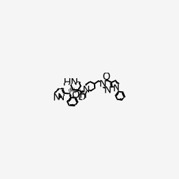 O=C(N1CCC(Cn2cnc3c(ccn3-c3ccccc3)c2=O)CC1)[C@@]1(O)CCNC[C@H]1C(c1ccccc1)c1cccnn1